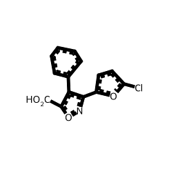 O=C(O)c1onc(-c2ccc(Cl)o2)c1-c1ccccc1